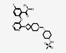 CCN(C(=O)c1cc(F)ccc1Oc1cncnc1N1CC2(CCN(C[C@H]3CC[C@@H](NS(C)(=O)=O)CC3)CC2)C1)C(C)C